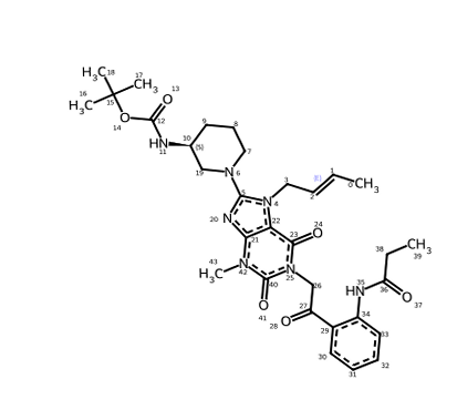 C/C=C/Cn1c(N2CCC[C@H](NC(=O)OC(C)(C)C)C2)nc2c1c(=O)n(CC(=O)c1ccccc1NC(=O)CC)c(=O)n2C